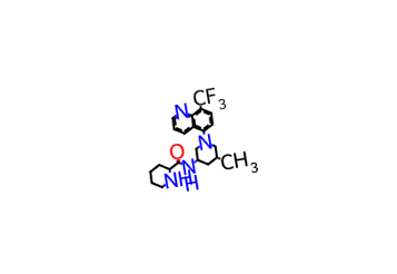 C[C@H]1C[C@@H](NC(=O)C2CCCCN2)CN(c2ccc(C(F)(F)F)c3ncccc23)C1